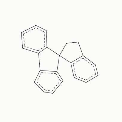 c1ccc2c(c1)CCC21c2ccccc2-c2ccccc21